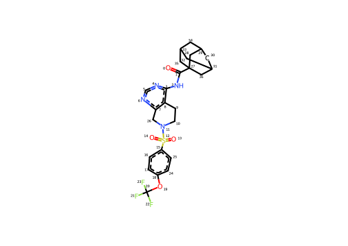 O=C(Nc1ncnc2c1CCN(S(=O)(=O)c1ccc(OC(F)(F)F)cc1)C2)C12CC3CC(CC(C3)C1)C2